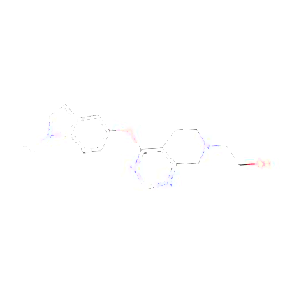 Cn1ccc2cc(Oc3ncnc4c3CCN(CCO)C4)ccc21